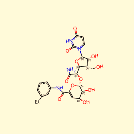 CCc1cccc(NC(=O)C2=C[C@H](O)[C@H](O)[C@@H](O[C@@H](C(N)=O)[C@H]3O[C@@H](n4ccc(=O)[nH]c4=O)[C@H](O)[C@@H]3CO)O2)c1